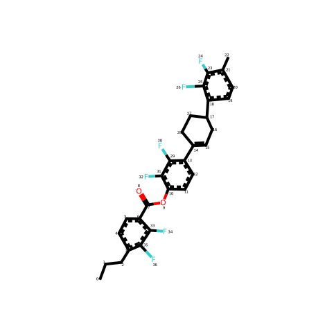 CCCc1ccc(C(=O)Oc2ccc(C3=CCC(c4ccc(C)c(F)c4F)CC3)c(F)c2F)c(F)c1F